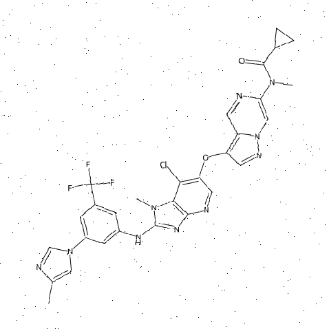 Cc1cn(-c2cc(Nc3nc4ncc(Oc5cnn6cc(N(C)C(=O)C7CC7)ncc56)c(Cl)c4n3C)cc(C(F)(F)F)c2)cn1